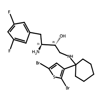 N[C@@H](Cc1cc(F)cc(F)c1)[C@H](O)CNC1(c2cc(Br)sc2Br)CCCCC1